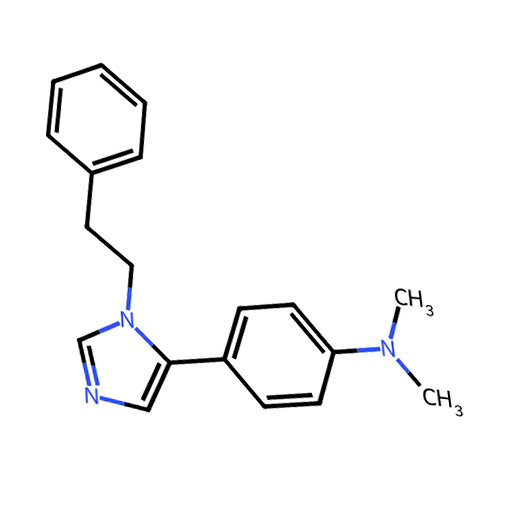 CN(C)c1ccc(-c2cncn2CCc2ccccc2)cc1